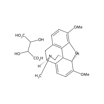 COC1=CC=C2[C@H]3Cc4ccc(OC)c5c4[C@@]2(CCN3C)[C@H]1O5.O=C(O)C(O)C(O)C(=O)O